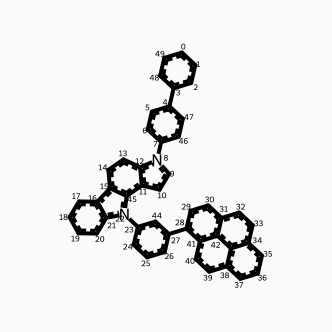 c1ccc(-c2ccc(-n3ccc4c3ccc3c5ccccc5n(-c5cccc(-c6ccc7ccc8cccc9ccc6c7c89)c5)c34)cc2)cc1